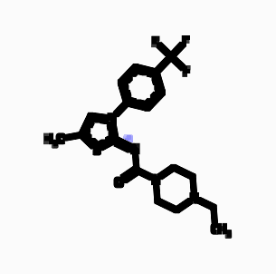 CCN1CCN(C(=O)/N=c2\sc(C)cn2-c2ccc(C(F)(F)F)cc2)CC1